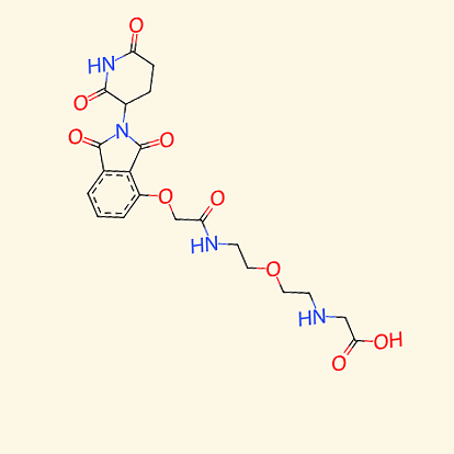 O=C(O)CNCCOCCNC(=O)COc1cccc2c1C(=O)N(C1CCC(=O)NC1=O)C2=O